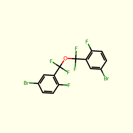 Fc1ccc(Br)cc1C(F)(F)OC(F)(F)c1cc(Br)ccc1F